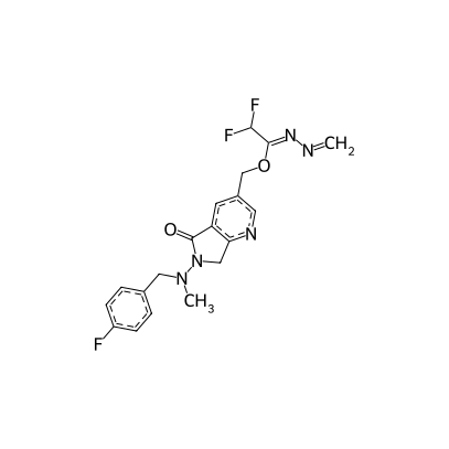 C=N/N=C(\OCc1cnc2c(c1)C(=O)N(N(C)Cc1ccc(F)cc1)C2)C(F)F